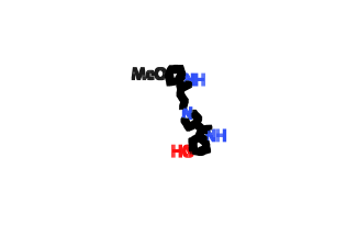 COc1ccc2[nH]cc(CCCN3CCC(c4c[nH]c5ccc(O)cc45)CC3)c2c1